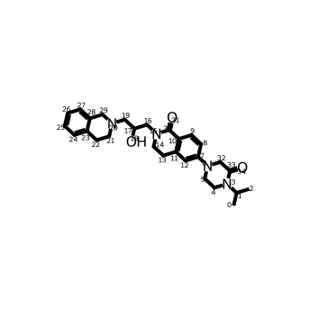 CC(C)N1CCN(c2ccc3c(c2)CCN(CC(O)CN2CCc4ccccc4C2)C3=O)CC1=O